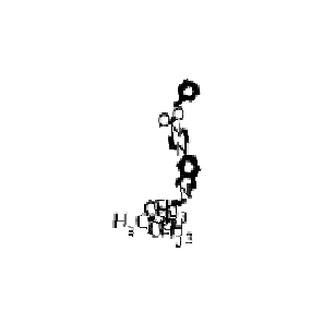 CC(C)(C)[Si](C)(C)OCCN1Cc2ccc(N3CCN(C(=O)OCc4ccccc4)CC3)cc2C1